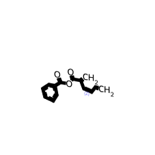 C=C/C=C\C(=C)C(=O)OC(=O)c1ccccc1